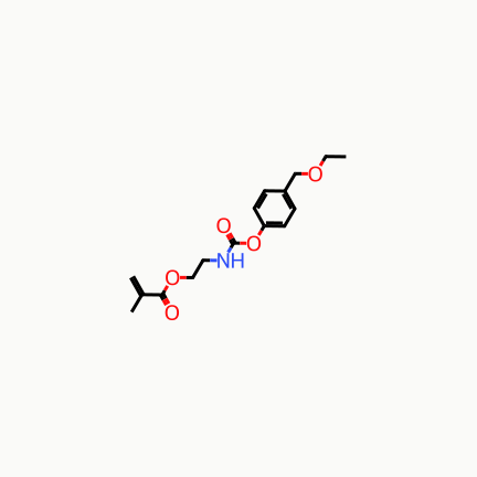 C=C(C)C(=O)OCCNC(=O)Oc1ccc(COCC)cc1